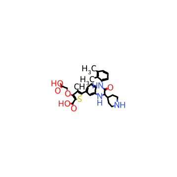 Cc1cccc(NC(=O)C(Nc2cccc(-c3sc(C(=O)O)c(OCC(=O)O)c3C)c2)C2CCNCC2)c1C